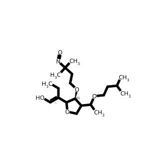 CC/C(=C\O)C1OCC(C(C)OCCC(C)C)[C@@H]1OCCC(C)(C)N=O